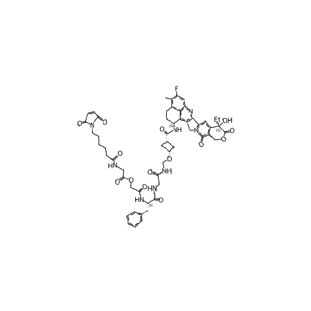 CC[C@@]1(O)C(=O)OCc2c1cc1n(c2=O)Cc2c-1nc1cc(F)c(C)c3c1c2[C@@H](NC(=O)[C@H]1C[C@@H](OCNC(=O)CNC(=O)[C@H](Cc2ccccc2)NC(=O)COC(=O)CNC(=O)CCCCCN2C(=O)C=CC2=O)C1)CC3